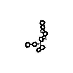 c1ccc(-c2ccc(N(c3ccc4c(c3)sc3ccc5c6cc7ccccc7cc6sc5c34)c3cccc4ccccc34)cc2)cc1